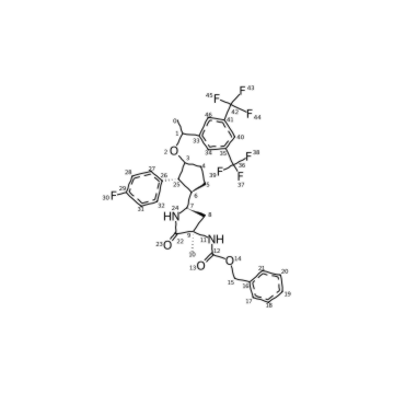 CC(OC1CC[C@@H]([C@H]2C[C@@](C)(NC(=O)OCc3ccccc3)C(=O)N2)[C@@H]1c1ccc(F)cc1)c1cc(C(F)(F)F)cc(C(F)(F)F)c1